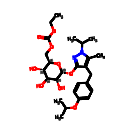 CCOC(=O)OC[C@H]1O[C@H](Oc2nn(C(C)C)c(C)c2Cc2ccc(OC(C)C)cc2)[C@H](O)[C@@H](O)[C@@H]1O